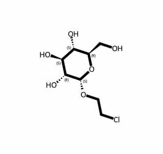 OC[C@H]1O[C@H](OCCCl)[C@H](O)[C@@H](O)[C@@H]1O